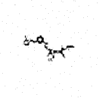 CCn1c(=C=C(C#N)C(=O)NCC#N)sc(=C=CNc2cccc(CCN3CCSC3C)c2)c1=O